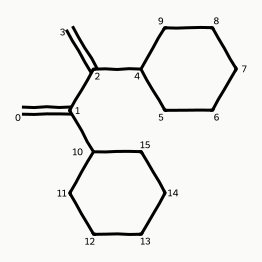 C=C(C(=C)C1CCCCC1)C1CCCCC1